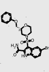 NC(=O)c1[nH]c2ccc(Br)cc2c1S(=O)(=O)N1CCO[C@@H](COc2ccccc2)C1